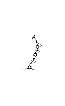 COc1cc(C(=O)Oc2ccc(/C=C/C(=O)OCCc3cc(N)cc(N)c3)cc2)ccc1OCCCCC(F)(F)F